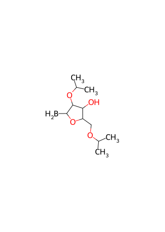 BC1OC(COC(C)C)C(O)C1OC(C)C